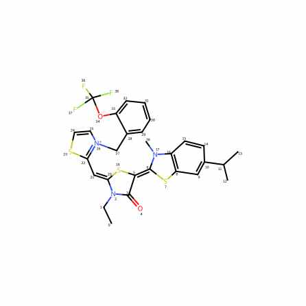 CCn1c(=O)/c(=C2\Sc3cc(C(C)C)ccc3N2C)s/c1=C\c1scc[n+]1Cc1ccccc1OC(F)(F)F